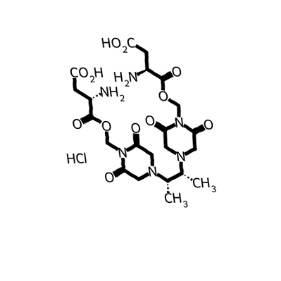 C[C@H]([C@H](C)N1CC(=O)N(COC(=O)[C@@H](N)CC(=O)O)C(=O)C1)N1CC(=O)N(COC(=O)[C@@H](N)CC(=O)O)C(=O)C1.Cl